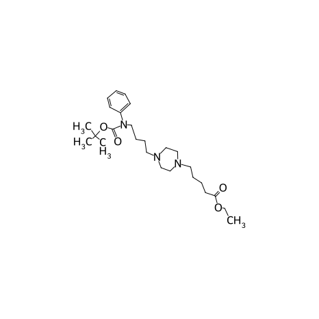 CCOC(=O)CCCCN1CCN(CCCCN(C(=O)OC(C)(C)C)c2ccccc2)CC1